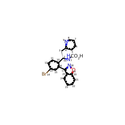 O=C(O)N[C@@H](Cc1ccccn1)c1ccc(Br)cc1-c1noc2ccccc12